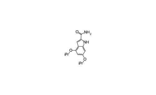 CC(C)Oc1cc(OC(C)C)c2cc(C(N)=O)[nH]c2c1